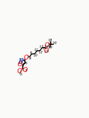 COC(=O)c1cc(OCCCCCCC(=O)OC(C)(C)C)no1